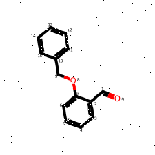 O=Cc1c[c]ccc1OCc1ccccc1